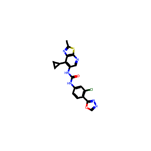 Cc1nc2c(C3CC3)c(NC(=O)Nc3ccc(-c4nnco4)c(Cl)c3)cnc2s1